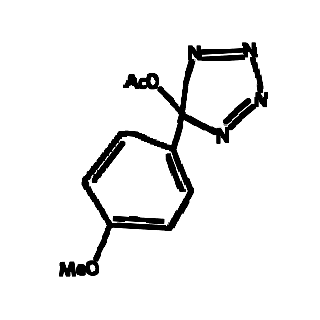 COc1ccc(C2(OC(C)=O)N=NN=N2)cc1